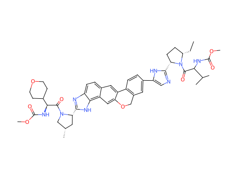 CC[C@H]1CC[C@@H](c2ncc(-c3ccc4c(c3)COc3cc5c(ccc6nc([C@@H]7C[C@H](C)CN7C(=O)[C@@H](NC(=O)OC)C7CCOCC7)[nH]c65)cc3-4)[nH]2)N1C(=O)C(NC(=O)OC)C(C)C